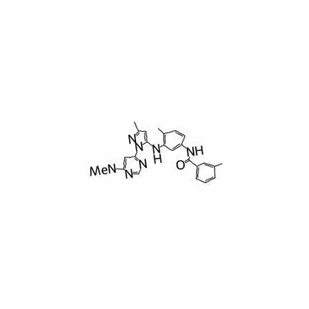 CNc1cc(-n2nc(C)cc2Nc2cc(NC(=O)c3cccc(C)c3)ccc2C)ncn1